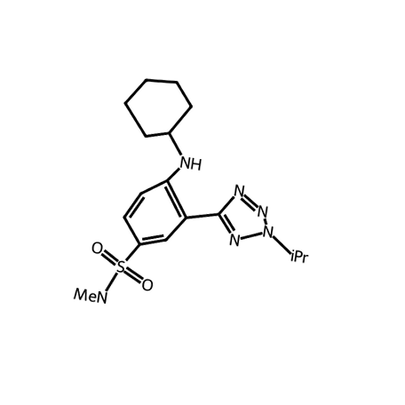 CNS(=O)(=O)c1ccc(NC2CCCCC2)c(-c2nnn(C(C)C)n2)c1